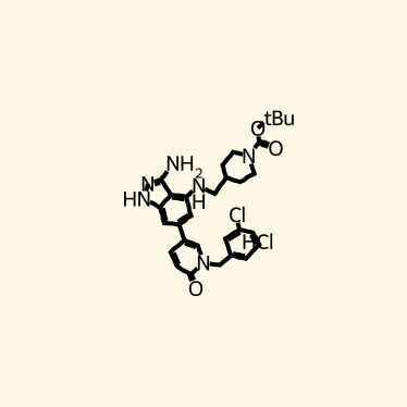 CC(C)(C)OC(=O)N1CCC(CNc2cc(-c3ccc(=O)n(Cc4cccc(Cl)c4)c3)cc3[nH]nc(N)c23)CC1.Cl